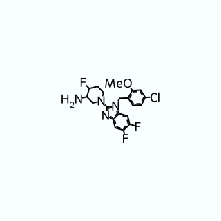 COc1cc(Cl)ccc1Cn1c(N2CCC(F)C(N)C2)nc2cc(F)c(F)cc21